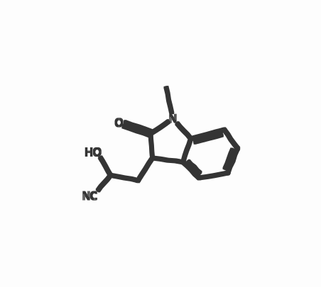 CN1C(=O)C(CC(O)C#N)c2ccccc21